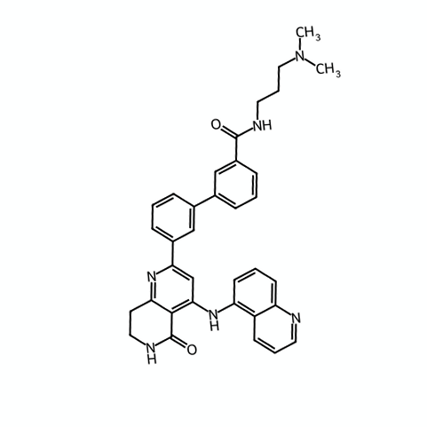 CN(C)CCCNC(=O)c1cccc(-c2cccc(-c3cc(Nc4cccc5ncccc45)c4c(n3)CCNC4=O)c2)c1